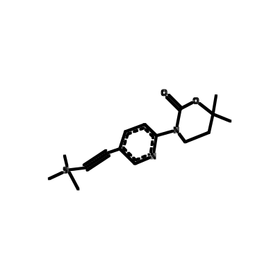 CC1(C)CCN(c2ccc(C#C[Si](C)(C)C)cn2)C(=O)O1